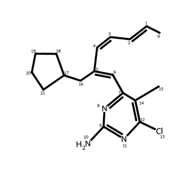 C/C=C/C=C\C(=C\c1nc(N)nc(Cl)c1C)CC1CCCC1